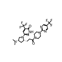 CN(C)[C@H]1C[C@@H](CCC(=O)N2CCN(c3ncc(C(F)(F)F)cn3)CC2)N(c2cc(C(F)(F)F)c(=O)[nH]n2)C1